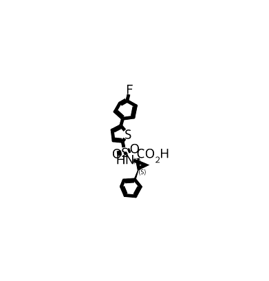 O=C(O)[C@@]1(NS(=O)(=O)c2ccc(-c3ccc(F)cc3)s2)C[C@H]1c1ccccc1